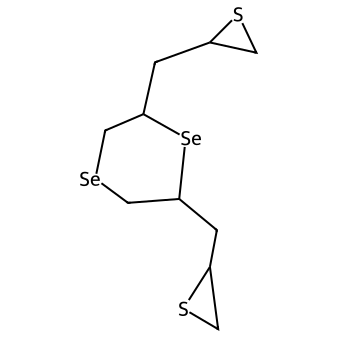 C1SC1CC1C[Se]CC(CC2CS2)[Se]1